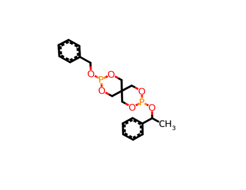 CC(OP1OCC2(COP(OCc3ccccc3)OC2)CO1)c1ccccc1